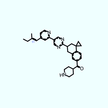 CC/C(C)=C/c1ccnc(-c2cnc(C3Cc4cc(C(=O)C5CCNCC5)ccc4C4(CC4)C3)nc2)c1